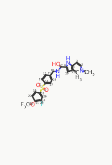 C=N/C=C\c1[nH]c(C(O)NCc2ccc(S(=O)(=O)c3ccc(OC(F)(F)F)c(F)c3)cc2)cc1C